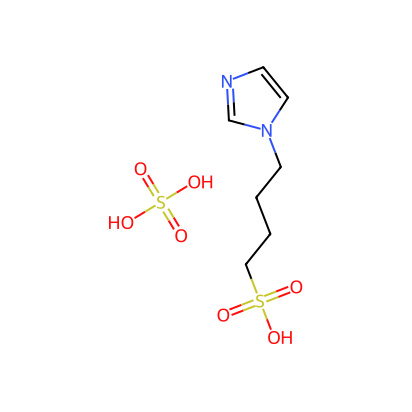 O=S(=O)(O)CCCCn1ccnc1.O=S(=O)(O)O